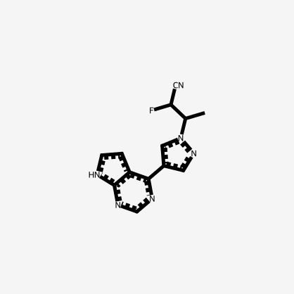 CC(C(F)C#N)n1cc(-c2ncnc3[nH]ccc23)cn1